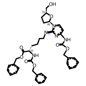 O=C(Nc1ccn([C@H]2CC[C@@H](CO)O2)/c(=N/CCCC[C@H](NC(=O)OCc2ccccc2)C(=O)OCc2ccccc2)n1)OCc1ccccc1